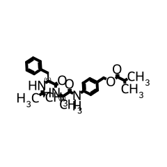 CC(C)N[C@@H](Cc1ccccc1)C(=O)N[C@@H](C)C(=O)Nc1ccc(COC(=O)C(C)C)cc1